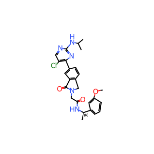 COc1cccc([C@@H](C)NC(=O)CN2Cc3ccc(-c4nc(NC(C)C)ncc4Cl)cc3C2=O)c1